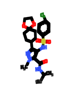 CC(NC(=O)c1c(NS(=O)(=O)c2ccc(Cl)cc2)c(C2CCC3(CC2)OCCO3)nn1C)C(C)(C)C